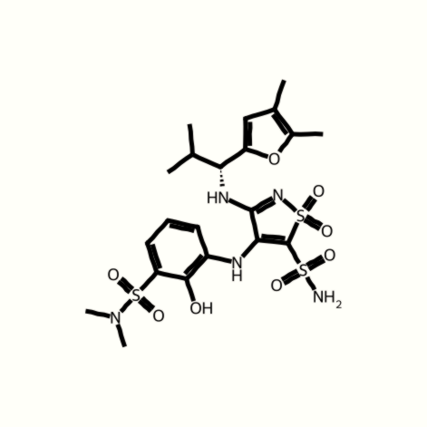 Cc1cc([C@H](NC2=NS(=O)(=O)C(S(N)(=O)=O)=C2Nc2cccc(S(=O)(=O)N(C)C)c2O)C(C)C)oc1C